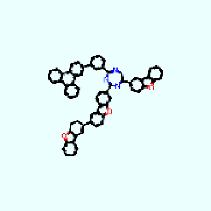 C1=C(c2ccc3oc4cc(C5=NC(c6cccc(-c7ccc8c9ccccc9c9ccccc9c8c7)c6)=NCC(c6ccc7oc8ccccc8c7c6)=N5)ccc4c3c2)CCc2oc3ccccc3c21